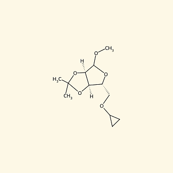 COC1O[C@H](COC2CC2)[C@H]2OC(C)(C)O[C@@H]12